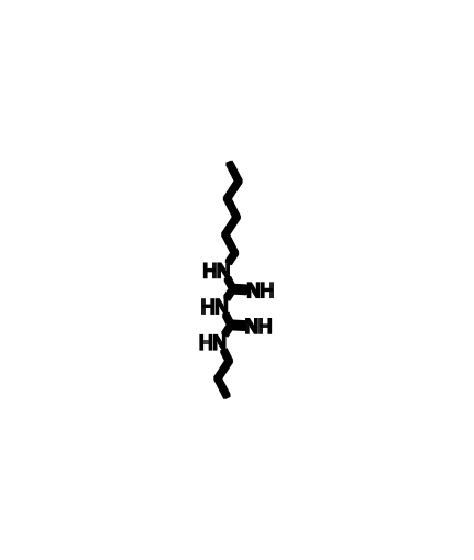 CCCCCCNC(=N)NC(=N)NCCC